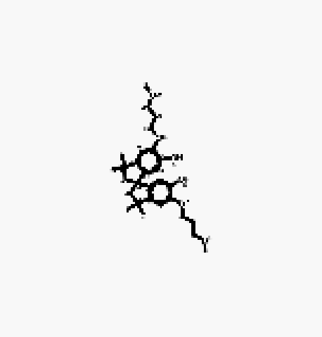 COCCCOc1cc2c(cc1O)C1(CC2(C)C)CC(C)(C)c2cc(OCCCOC)c(O)cc21